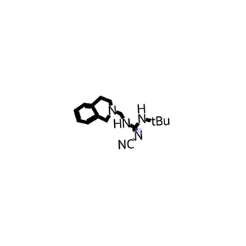 CC(C)(C)N/C(=N/C#N)NCN1CCc2ccccc2C1